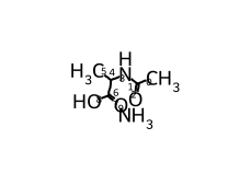 CC(=O)NC(C)C(=O)O.N